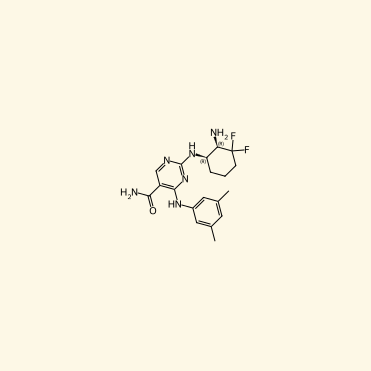 Cc1cc(C)cc(Nc2nc(N[C@@H]3CCCC(F)(F)[C@@H]3N)ncc2C(N)=O)c1